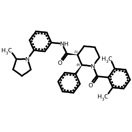 Cc1cccc(C)c1C(=O)N1CCC[C@H](C(=O)Nc2cccc(N3CCCC3C)c2)[C@@H]1c1ccccc1